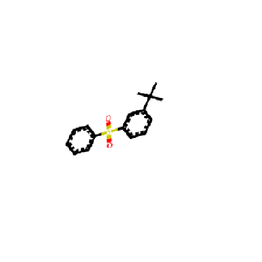 CC(C)(C)c1cccc(S(=O)(=O)c2ccccc2)c1